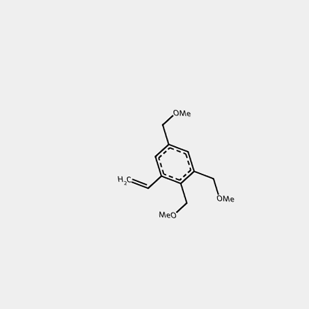 C=Cc1cc(COC)cc(COC)c1COC